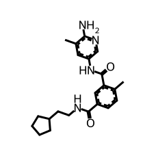 Cc1ccc(C(=O)NCCC2CCCC2)cc1C(=O)Nc1cnc(N)c(C)c1